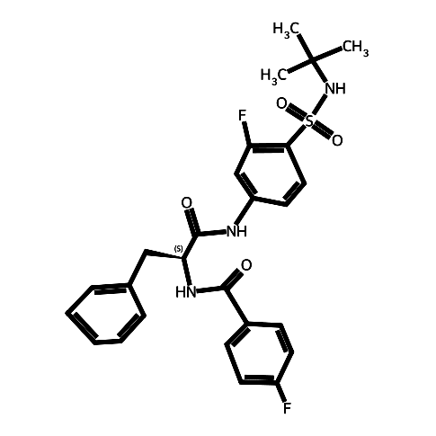 CC(C)(C)NS(=O)(=O)c1ccc(NC(=O)[C@H](Cc2ccccc2)NC(=O)c2ccc(F)cc2)cc1F